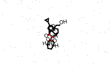 O=C(N[C@H]1C[C@H]2CC[C@@H](C1)N2S(=O)(=O)N1CC2CC3C(CCC3(CCO)C2)C1)c1cc(C2CC2)on1